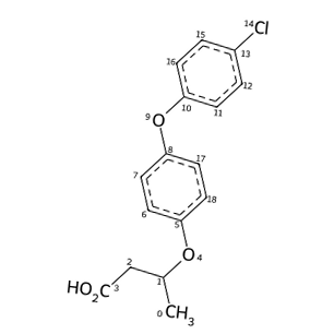 CC(CC(=O)O)Oc1ccc(Oc2ccc(Cl)cc2)cc1